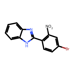 O=[N+]([O-])c1cc(Br)ccc1-c1nc2ccccc2[nH]1